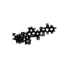 COc1c(CN2O[C@@H](CO)[C@@H]([C@H](C)O)[C@H]2C(O)N[C@H]2C[C@H]3C[C@@H]([C@@H]2C)C3(C)C)cccc1-c1cc(Cl)cc(C(=O)N[C@@H](Cc2ccccc2)CN(C)C)c1